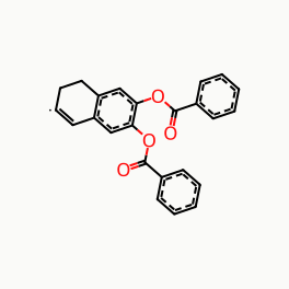 O=C(Oc1cc2c(cc1OC(=O)c1ccccc1)CC[C]=C2)c1ccccc1